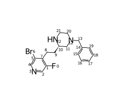 Fc1cncc(Br)c1CC[C@@H]1CN(Cc2ccccc2)CCN1